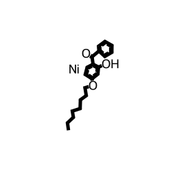 CCCCCCCCOc1ccc(C(=O)c2ccccc2)c(O)c1.[Ni]